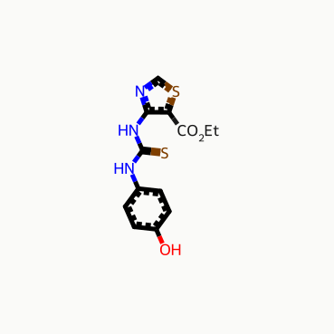 CCOC(=O)c1scnc1NC(=S)Nc1ccc(O)cc1